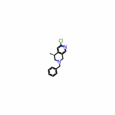 C[C@@H]1CN(Cc2ccccc2)Cc2cnc(Cl)cc21